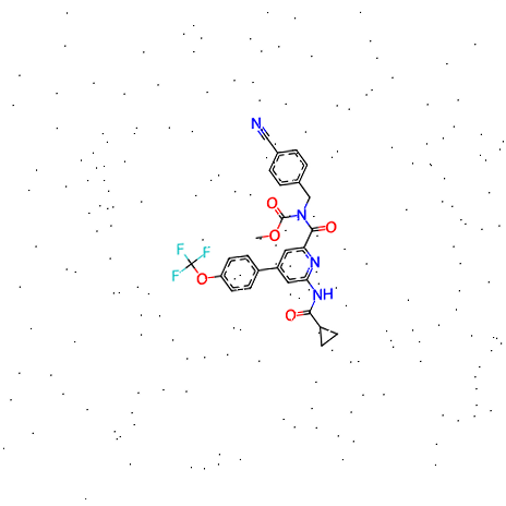 COC(=O)N(Cc1ccc(C#N)cc1)C(=O)c1cc(-c2ccc(OC(F)(F)F)cc2)cc(NC(=O)C2CC2)n1